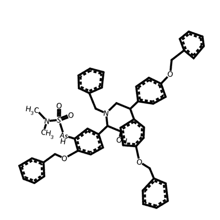 CN(C)S(=O)(=O)[AsH]c1cc(C(CO)N(Cc2ccccc2)CC(c2ccc(OCc3ccccc3)cc2)c2ccc(OCc3ccccc3)cc2)ccc1OCc1ccccc1